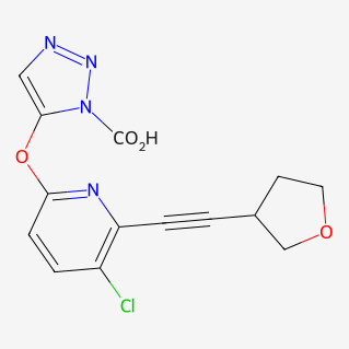 O=C(O)n1nncc1Oc1ccc(Cl)c(C#CC2CCOC2)n1